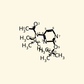 CC(=O)N(c1ccnc(O[Si](C)(C)C)n1)[Si](C)(C)C